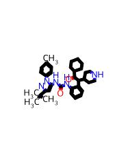 Cc1ccc(-n2nc(C(C)(C)C)cc2NC(=O)Nc2ccccc2C(C(=O)C2CCCCC2)C2CCNCC2)cc1